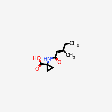 CC/C(C)=C/C(=O)NC1(C(=O)O)CC1